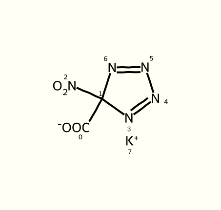 O=C([O-])C1([N+](=O)[O-])N=NN=N1.[K+]